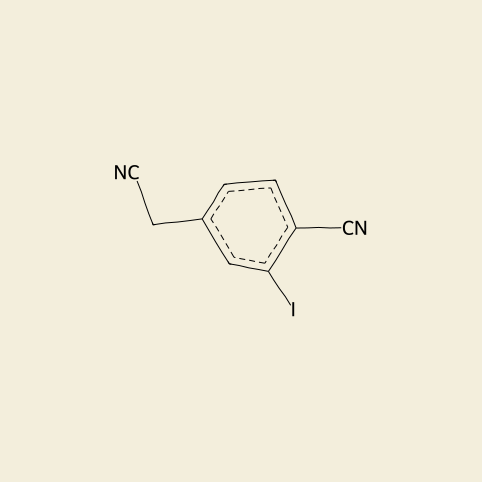 N#CCc1ccc(C#N)c(I)c1